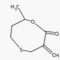 C=C1CSCCC(C)OC1=O